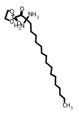 CCCCCCCCCCCCCCCCC(N)(N)[C](=O)[Ti]1(=[O])[O]CC[O]1